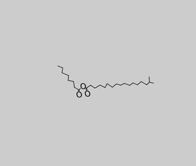 CCCCCCCC(=O)OC(=O)CCCCCCCCCCCCCCC(C)C